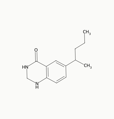 CCCC(C)c1ccc2c(c1)C(=O)NCN2